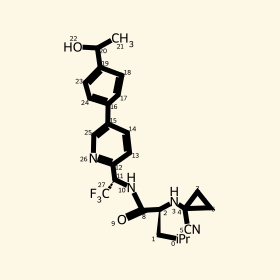 CC(C)C[C@H](NC1(C#N)CC1)C(=O)N[C@@H](c1ccc(-c2ccc(C(C)O)cc2)cn1)C(F)(F)F